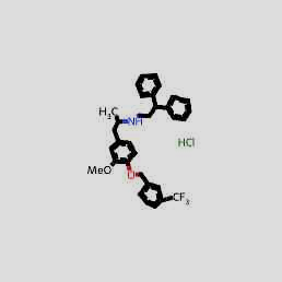 COc1cc(CC(C)NCCC(c2ccccc2)c2ccccc2)ccc1OCc1cccc(C(F)(F)F)c1.Cl